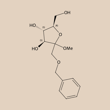 COC1(COCc2ccccc2)O[C@H](CO)[C@@H](O)[C@@H]1O